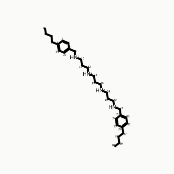 CCCCc1ccc(CNCCCNCCCNCCCNCc2ccc(CCCC)cc2)cc1